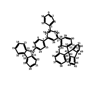 c1ccc(-c2nc(-c3ccc(-n4c5ccccc5c5ccccc54)cc3)cc(-c3cccc4c3Sc3ccccc3C43c4ccccc4-c4ccccc43)n2)cc1